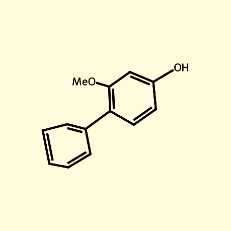 COc1cc(O)ccc1-c1ccccc1